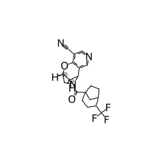 C[C@H]1C2c3cncc(C#N)c3O[C@H]1CN2C(=O)C12CCC(C1)C(C(F)(F)F)CC2